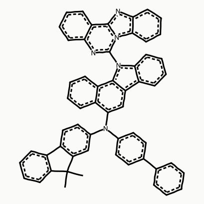 CC1(C)c2ccccc2-c2ccc(N(c3ccc(-c4ccccc4)cc3)c3cc4c5ccccc5n(-c5nc6ccccc6c6nc7ccccc7n56)c4c4ccccc34)cc21